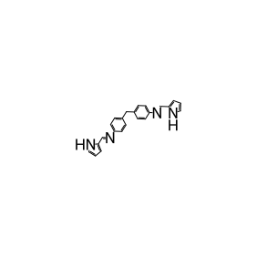 C(=N\c1ccc(Cc2ccc(/N=C/c3ccc[nH]3)cc2)cc1)/c1ccc[nH]1